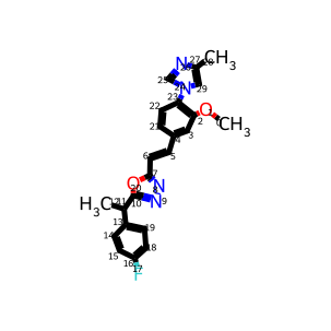 COc1cc(C=Cc2nnc(C(C)c3ccc(F)cc3)o2)ccc1-n1cnc(C)c1